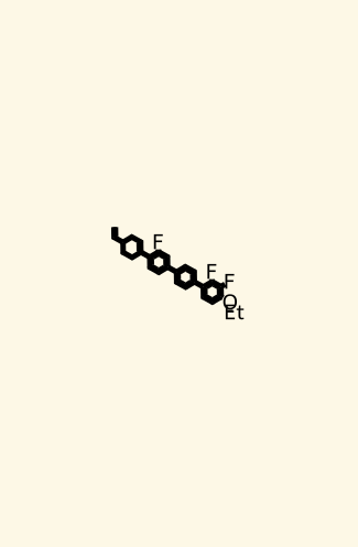 C=CC1CC=C(c2ccc(-c3ccc(-c4ccc(OCC)c(F)c4F)cc3)cc2F)CC1